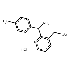 CC(C)(C)Cc1cccnc1C(N)c1ccc(C(F)(F)F)cc1.Cl